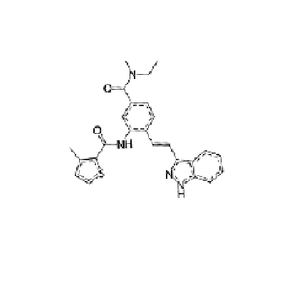 CCN(C)C(=O)c1ccc(/C=C/c2n[nH]c3ccccc23)c(NC(=O)c2sccc2C)c1